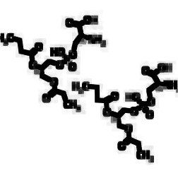 CCCC(=O)O[C@H](COC(=O)CC)COP(=O)(O)OC[C@H](N)C(=O)O.CCCC(=O)O[C@H](COC(=O)CC)COP(=O)(O)OC[C@H](N)C(=O)O